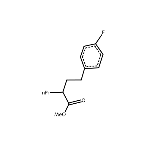 CCCC(CCc1ccc(F)cc1)C(=O)OC